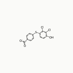 O=[N+]([O-])c1ccc(Sc2ccc(O)c(Cl)c2Cl)cc1